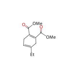 CCC1=CCC(C(=O)OC)=C(C(=O)OC)C1